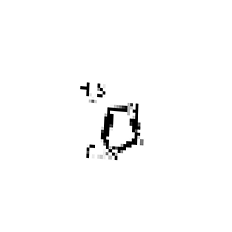 S.[Cu].c1csnn1